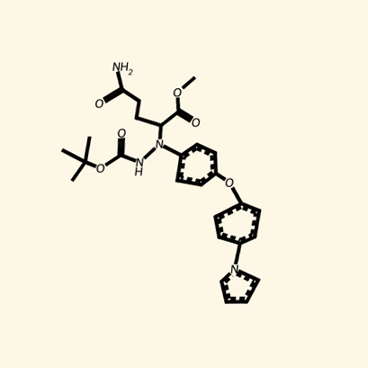 COC(=O)C(CCC(N)=O)N(NC(=O)OC(C)(C)C)c1ccc(Oc2ccc(-n3cccc3)cc2)cc1